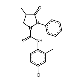 Cc1cc(Cl)ccc1NC(=S)N1CC(C)C(=O)N1c1ccccc1